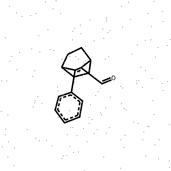 O=CC1=C(c2ccccc2)C2CCC1CC2